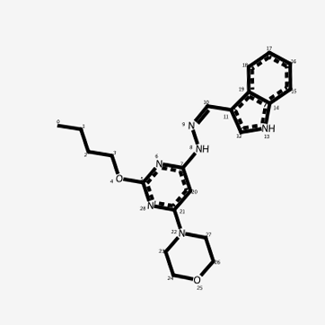 CCCCOc1nc(N/N=C\c2c[nH]c3ccccc23)cc(N2CCOCC2)n1